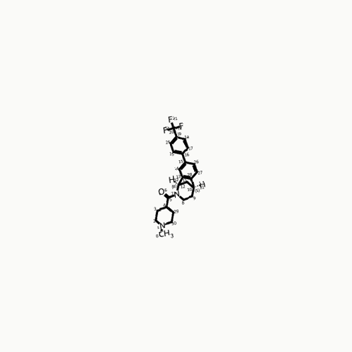 CN1CCC(C(=O)N2CC[C@H]3C[C@@H]2c2cc(-c4ccc(C(F)(F)F)cc4)ccc23)CC1